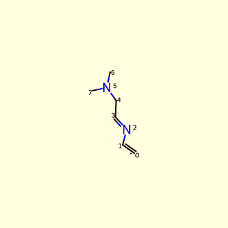 [CH]=CN=CCN(C)C